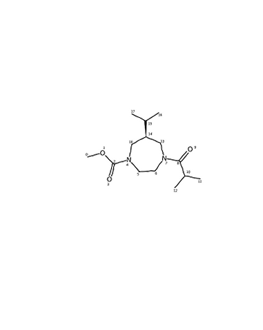 COC(=O)N1CCN(C(=O)C(C)C)C[C@H](C(C)C)C1